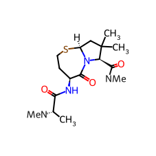 CNC(=O)[C@H]1N2C(=O)[C@@H](NC(=O)[C@H](C)NC)CCS[C@H]2CC1(C)C